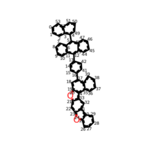 c1ccc2c(-c3c4ccccc4c(-c4ccc(-c5cc6oc7cc8oc9ccccc9c8cc7c6c6ccccc56)cc4)c4ccccc34)cccc2c1